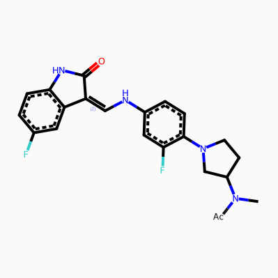 CC(=O)N(C)C1CCN(c2ccc(N/C=C3\C(=O)Nc4ccc(F)cc43)cc2F)C1